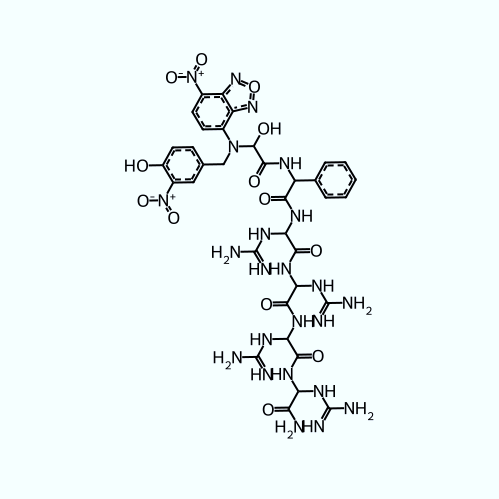 N=C(N)NC(NC(=O)C(NC(=N)N)NC(=O)C(NC(=N)N)NC(=O)C(NC(=N)N)NC(=O)C(NC(=O)C(O)N(Cc1ccc(O)c([N+](=O)[O-])c1)c1ccc([N+](=O)[O-])c2nonc12)c1ccccc1)C(N)=O